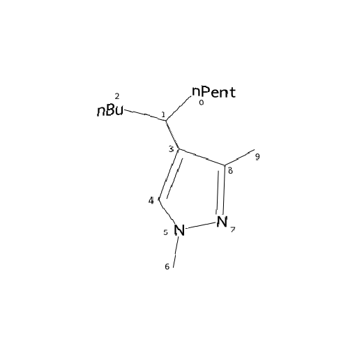 CCCCCC(CCCC)c1cn(C)nc1C